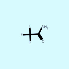 O=[C]([AlH2])C(F)(F)F